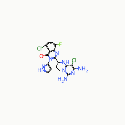 CC[C@H](Nc1nc(N)nc(N)c1Cl)c1nc2c(F)ccc(Cl)c2c(=O)n1-c1cc[nH]n1